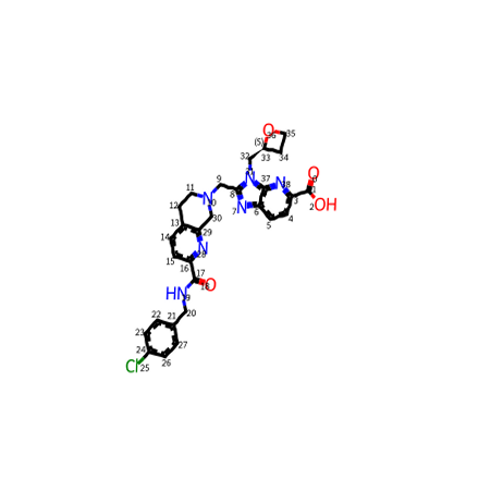 O=C(O)c1ccc2nc(CN3CCc4ccc(C(=O)NCc5ccc(Cl)cc5)nc4C3)n(C[C@@H]3CCO3)c2n1